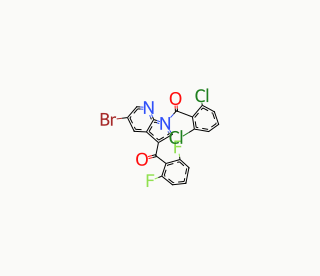 O=C(c1c(F)cccc1F)c1cn(C(=O)c2c(Cl)cccc2Cl)c2ncc(Br)cc12